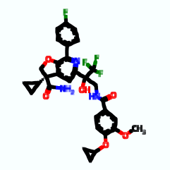 COc1cc(C(=O)NCC(O)(c2cc3c(c(-c4ccc(F)cc4)n2)OC[C@@]3(C(N)=O)C2CC2)C(F)(F)F)ccc1OC1CC1